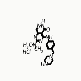 CN(C)c1nc(Nc2ccc(CN3CCNCC3)cc2)c2c(=O)[nH]ncc2n1.Cl